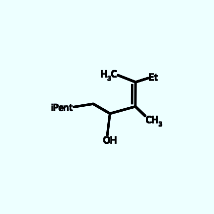 CCCC(C)CC(O)C(C)=C(C)CC